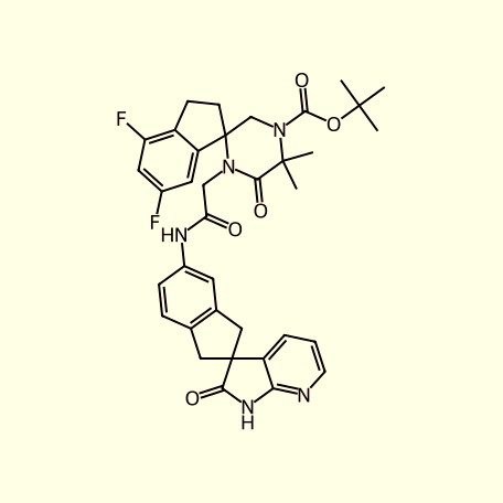 CC(C)(C)OC(=O)N1CC2(CCc3c(F)cc(F)cc32)N(CC(=O)Nc2ccc3c(c2)CC2(C3)C(=O)Nc3ncccc32)C(=O)C1(C)C